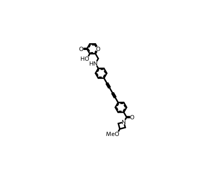 COC1CN(C(=O)c2ccc(C#CC#Cc3ccc(NCc4occc(=O)c4O)cc3)cc2)C1